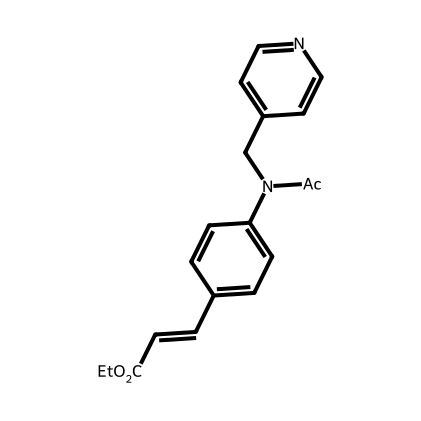 CCOC(=O)C=Cc1ccc(N(Cc2ccncc2)C(C)=O)cc1